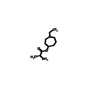 C[C@H](N)C(=O)OC1CCCN(CC(F)(F)F)CC1